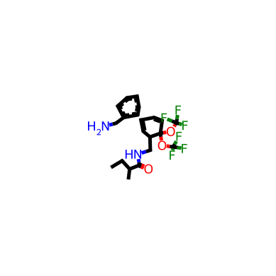 CCC(C)C(=O)NCC1C=CC=CC1(OC(F)(F)F)OC(F)(F)F.NCc1ccccc1